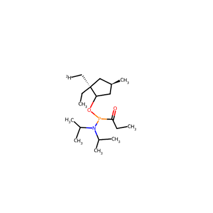 [2H]C[C@]1(CC)C[C@@H](C)CC1OP(C(=O)CC)N(C(C)C)C(C)C